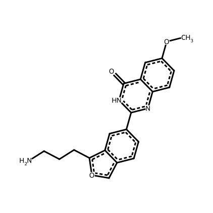 COc1ccc2nc(-c3ccc4coc(CCCN)c4c3)[nH]c(=O)c2c1